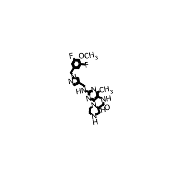 COc1c(F)cc(Cn2cc(CNc3nc(C)c4c(n3)N3CCNC[C@H]3C(=O)N4)cn2)cc1F